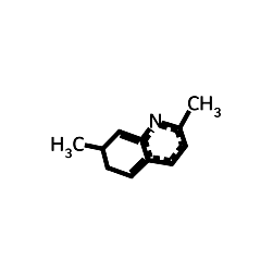 Cc1ccc2c(n1)=CC(C)CC=2